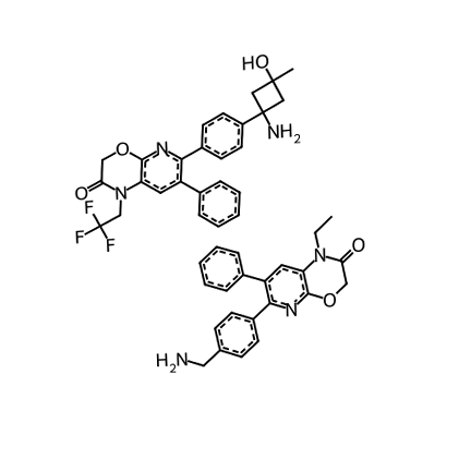 CC1(O)CC(N)(c2ccc(-c3nc4c(cc3-c3ccccc3)N(CC(F)(F)F)C(=O)CO4)cc2)C1.CCN1C(=O)COc2nc(-c3ccc(CN)cc3)c(-c3ccccc3)cc21